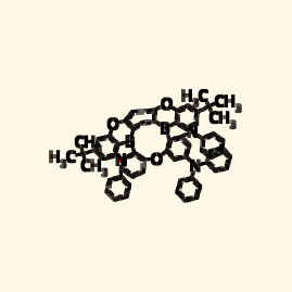 CC(C)(C)c1cc2c3c(c1)N(c1ccccc1)c1cccc4c1B3c1cc3c(cc1O2)Oc1cc(C(C)(C)C)cc2c1B3c1c(cc(N(c3ccccc3)c3ccccc3)cc1N2c1ccccc1)O4